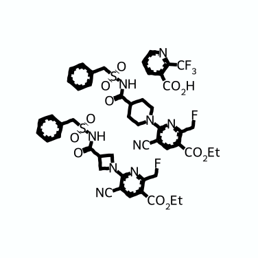 CCOC(=O)c1cc(C#N)c(N2CC(C(=O)NS(=O)(=O)Cc3ccccc3)C2)nc1CF.CCOC(=O)c1cc(C#N)c(N2CCC(C(=O)NS(=O)(=O)Cc3ccccc3)CC2)nc1CF.O=C(O)c1cccnc1C(F)(F)F